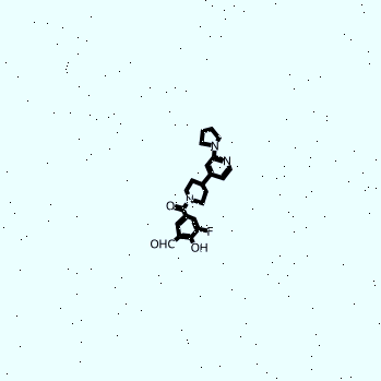 O=Cc1cc(C(=O)N2CCC(c3ccnc(N4CCCC4)c3)CC2)cc(F)c1O